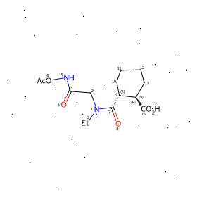 CCN(CC(=O)NOC(C)=O)C(=O)[C@@H]1CCCC[C@H]1C(=O)O